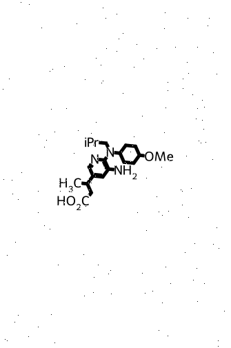 COC1CCC(N(CC(C)C)c2ncc(C(C)CC(=O)O)cc2N)CC1